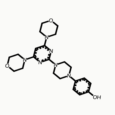 Oc1ccc(N2CCN(c3nc(N4CCOCC4)cc(N4CCOCC4)n3)CC2)cc1